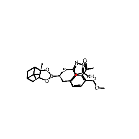 COCc1ccc(C[C@H](Sc2nnc(N)s2)B2OC3CC4CC(C4(C)C)[C@]3(C)O2)c(C)c1C(C)=O